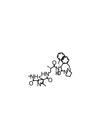 CNC(=O)c1nc(C)c(C(=O)NC[C@@H](C)C(=O)N[C@]2(Cc3ccccc3)C(=O)N3CCCN3Cc3ccccc32)s1